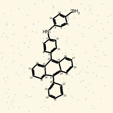 Bc1ccc(Nc2ccc(-c3c4ccccc4c(-c4ccccc4)c4ccccc34)cc2)cc1